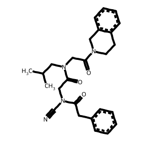 CC(C)CN(CC(=O)N1CCc2ccccc2C1)C(=O)CN(C#N)C(=O)Cc1ccccc1